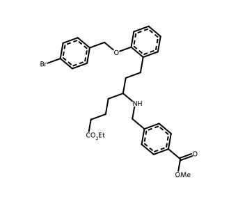 CCOC(=O)CCCC(CCc1ccccc1OCc1ccc(Br)cc1)NCc1ccc(C(=O)OC)cc1